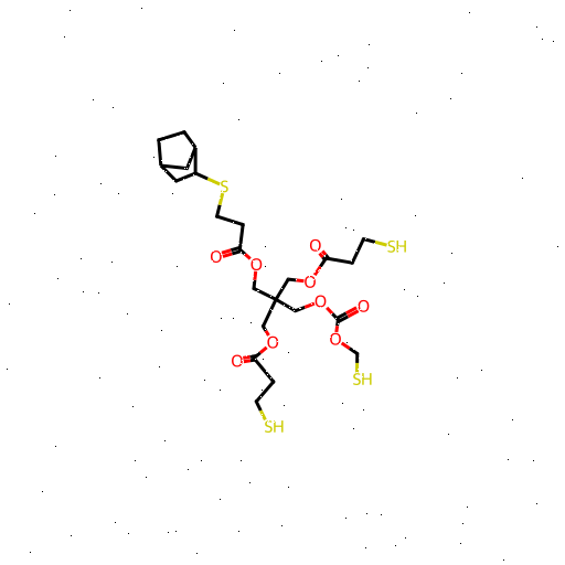 O=C(CCS)OCC(COC(=O)CCS)(COC(=O)CCSC1CC2CCC1C2)COC(=O)OCS